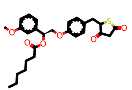 CCCCCCC(=O)O[C@H](COc1ccc(CC2SC(=O)CC2=O)cc1)c1cccc(OC)c1